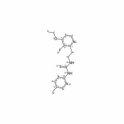 CCOc1ccnc(CCNC(=S)Nc2ccc(C)cn2)c1F